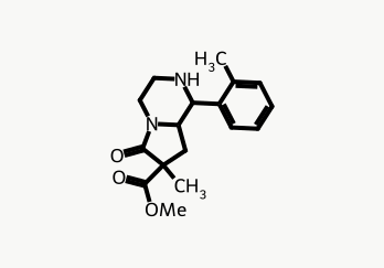 COC(=O)C1(C)CC2C(c3ccccc3C)NCCN2C1=O